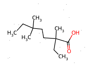 CCC(C)(C)CCC(C)(CC)C(=O)O